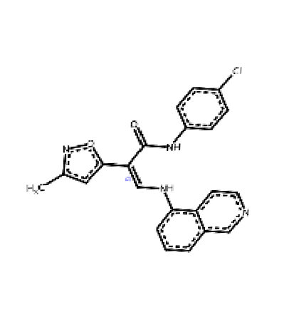 Cc1cc(/C(=C/Nc2cccc3cnccc23)C(=O)Nc2ccc(Cl)cc2)on1